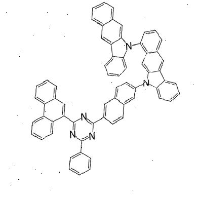 c1ccc(-c2nc(-c3ccc4cc(-n5c6ccccc6c6cc7cccc(-n8c9ccccc9c9cc%10ccccc%10cc98)c7cc65)ccc4c3)nc(-c3cc4ccccc4c4ccccc34)n2)cc1